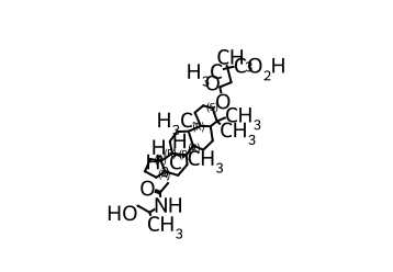 CC(CO)NC(=O)C[C@]12CCC[C@@H]1[C@H]1CCC3[C@@]4(C)CC[C@H](OC(=O)CC(C)(C)C(=O)O)C(C)(C)C4CC[C@@]3(C)[C@]1(C)CC2